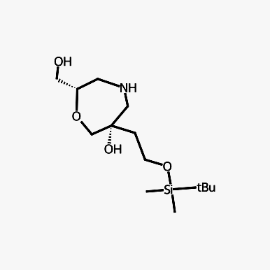 CC(C)(C)[Si](C)(C)OCC[C@]1(O)CNC[C@@H](CO)OC1